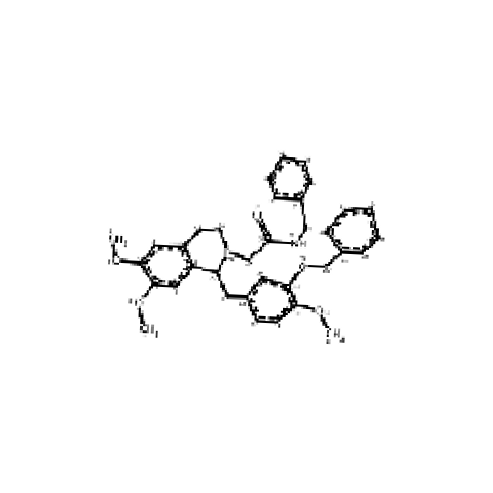 COc1cc2c(cc1OC)C(Cc1ccc(OC)c(OCc3ccccc3)c1)N(CC(=O)NCc1ccccc1)CC2